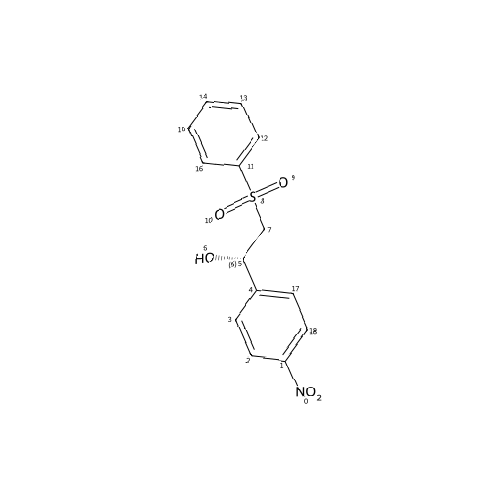 O=[N+]([O-])c1ccc([C@H](O)CS(=O)(=O)c2ccccc2)cc1